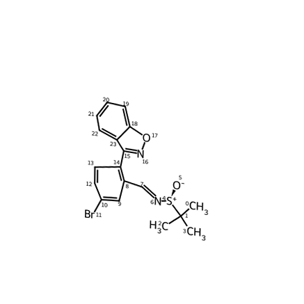 CC(C)(C)[S@+]([O-])/N=C/c1cc(Br)ccc1-c1noc2ccccc12